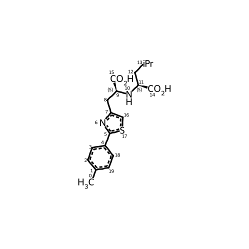 Cc1ccc(-c2nc(C[C@H](N[C@@H](CC(C)C)C(=O)O)C(=O)O)cs2)cc1